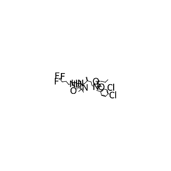 C=C(CCN(Cc1ccc(Cl)c(Cl)c1)S(=O)(=O)CCC)C1=NC(C)(C)[C@H](C(=O)NCCCC(F)(F)F)N1